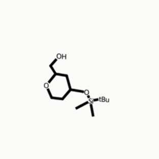 CC(C)(C)[Si](C)(C)OC1CCOC(CO)C1